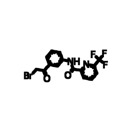 O=C(CBr)c1cccc(NC(=O)c2cccc(C(F)(F)F)n2)c1